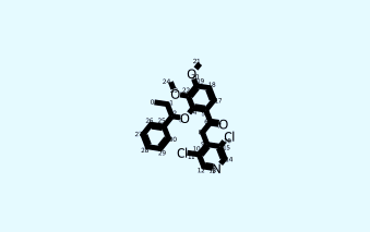 CCC(Oc1c(C(=O)Cc2c(Cl)cncc2Cl)ccc(OC)c1OC)c1ccccc1